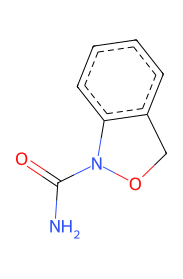 NC(=O)N1OCc2ccccc21